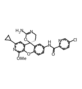 COc1nc(C2CC2)cc2c1Oc1ccc(NC(=O)c3ccc(Cl)cn3)cc1[C@@]21CCN=C(N)O1